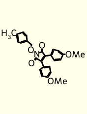 COc1ccc(C2=C(c3ccc(OC)cc3)C(=O)N(OCc3ccc(C)cc3)C2=O)cc1